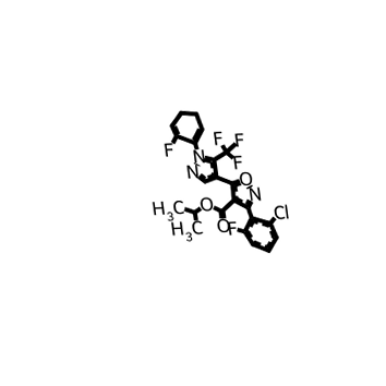 CC(C)OC(=O)c1c(-c2c(F)cccc2Cl)noc1-c1cnn(C2=CCCC=C2F)c1C(F)(F)F